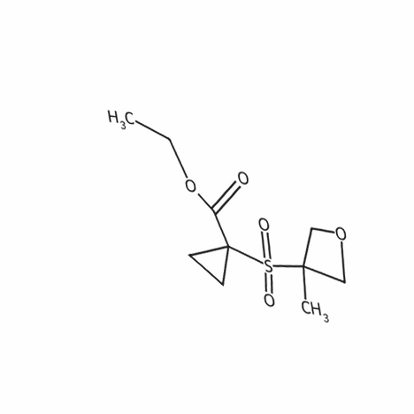 CCOC(=O)C1(S(=O)(=O)C2(C)COC2)CC1